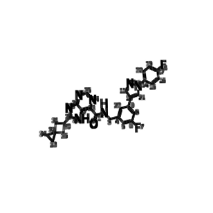 O=C(NCc1cc(F)cc(-c2cnn(-c3ccc(F)cc3)c2)c1)c1ncnc2nc(C3CC4(CC4)C3)[nH]c12